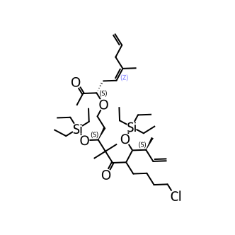 C=CC/C(C)=C\C[C@H](OCC[C@H](O[Si](CC)(CC)CC)C(C)(C)C(=O)C(CCCCCl)C(O[Si](CC)(CC)CC)[C@@H](C)C=C)C(C)=O